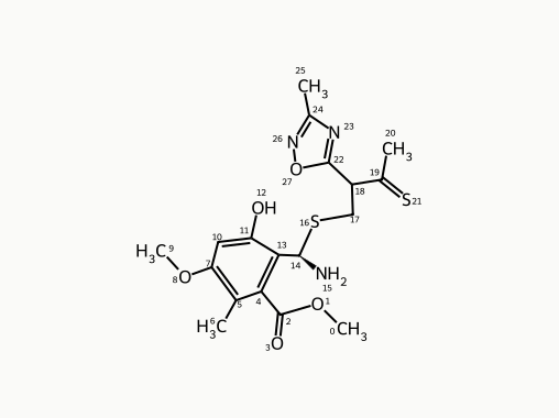 COC(=O)c1c(C)c(OC)cc(O)c1[C@H](N)SCC(C(C)=S)c1nc(C)no1